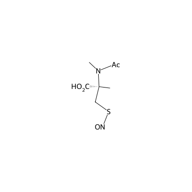 CC(=O)N(C)[C@@](C)(CSN=O)C(=O)O